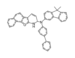 CC1(C)c2ccccc2-c2cc(N(c3ccc(-c4ccccc4)cc3)C3C=Cc4c(oc5c4ccc4ccccc45)N3)ccc21